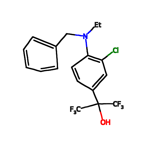 CCN(Cc1ccccc1)c1ccc(C(O)(C(F)(F)F)C(F)(F)F)cc1Cl